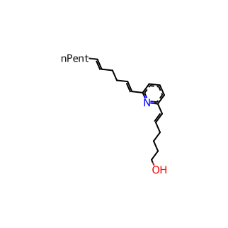 CCCCCC=CCCC=Cc1cccc(C=CCCCCO)n1